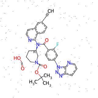 C#Cc1ccc2c(N(C(=O)c3ccc(-n4nnc5cccnc54)cc3F)[C@@H]3CCCN(C(=O)OC(C)(C)C)C3)nccc2c1.O=CO